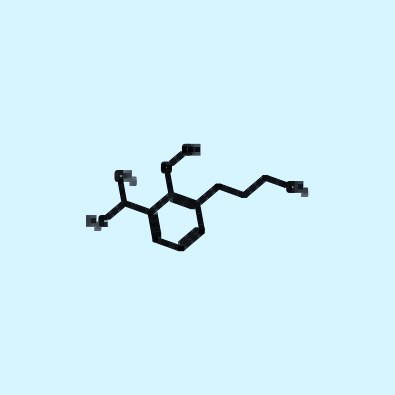 CCCCc1cccc(C(C)C)c1OO